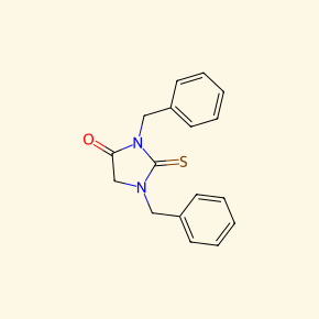 O=C1CN(Cc2ccccc2)C(=S)N1Cc1ccccc1